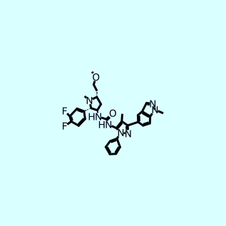 COCC[C@@H]1C[C@@H](NC(=O)Nc2c(C)c(-c3ccc4c(cnn4C)c3)nn2-c2ccccc2)[C@H](c2ccc(F)c(F)c2)N1C